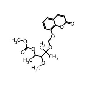 COC(=O)OC(C)C(OC)C(C)(C)OCOc1cccc2ccc(=O)oc12